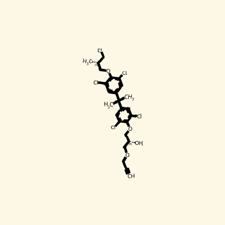 C#CCOC[C@@H](O)COc1c(Cl)cc(C(C)(C)c2cc(Cl)c(OC[C@H](C)CCl)c(Cl)c2)cc1Cl